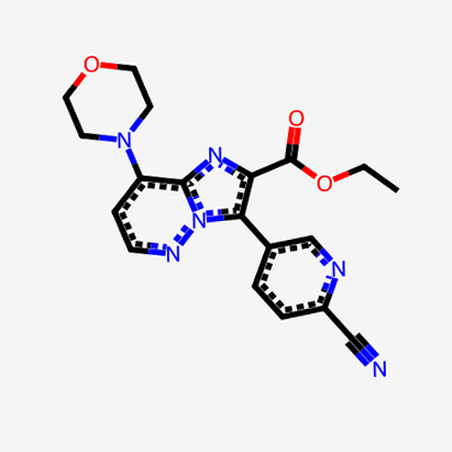 CCOC(=O)c1nc2c(N3CCOCC3)ccnn2c1-c1ccc(C#N)nc1